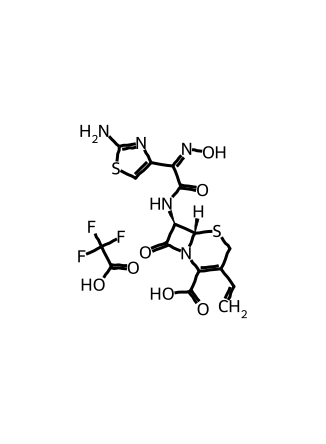 C=CC1=C(C(=O)O)N2C(=O)[C@@H](NC(=O)/C(=N\O)c3csc(N)n3)[C@@H]2SC1.O=C(O)C(F)(F)F